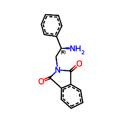 N[C@@H](CN1C(=O)c2ccccc2C1=O)c1ccccc1